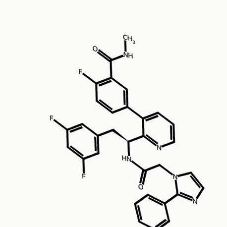 CNC(=O)c1cc(-c2cccnc2[C@H](Cc2cc(F)cc(F)c2)NC(=O)Cn2ccnc2-c2ccccc2)ccc1F